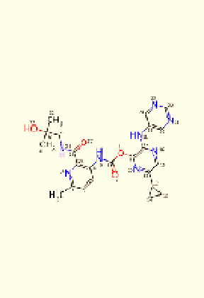 Cc1ccc(NC(=O)Oc2nc(C3CC3)cnc2Nc2cncnc2)c(C(=O)NCC(C)(C)O)n1